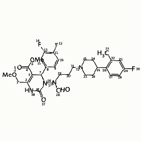 COCC1=C(C(=O)OC)C(c2ccc(F)c(F)c2)N(N(C=O)CCCN2CCC(c3ccc(F)cc3C)CC2)C(=O)N1